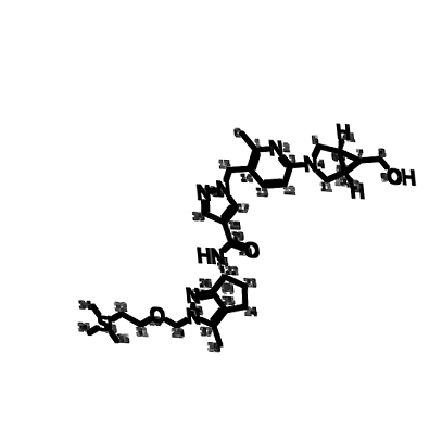 Cc1nc(N2C[C@@H]3C(CO)[C@@H]3C2)ccc1Cn1cc(C(=O)N[C@@H]2CCc3c2nn(COCC[Si](C)(C)C)c3C)cn1